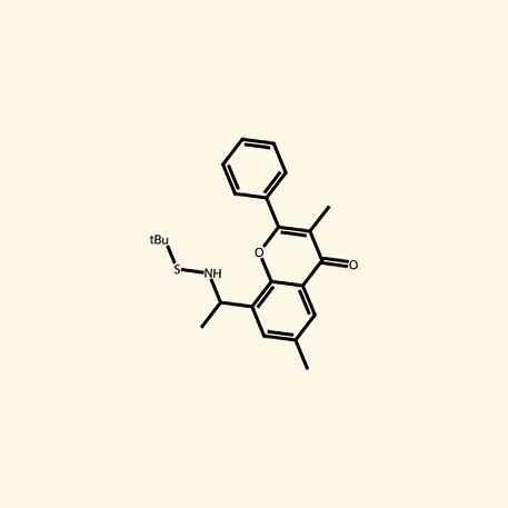 Cc1cc(C(C)NSC(C)(C)C)c2oc(-c3ccccc3)c(C)c(=O)c2c1